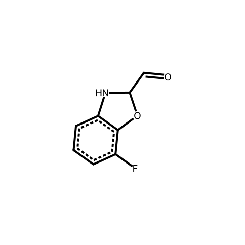 O=CC1Nc2cccc(F)c2O1